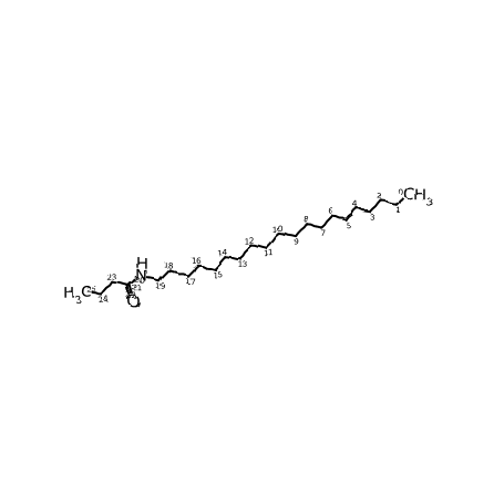 CCCCCCCCCCCCCCCCCCCCNC(=O)CCC